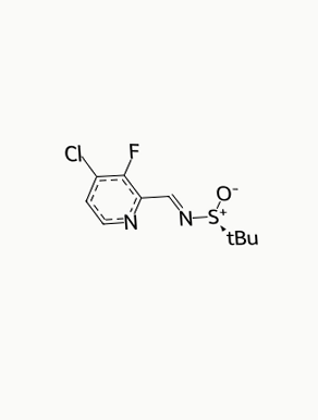 CC(C)(C)[S@+]([O-])/N=C/c1nccc(Cl)c1F